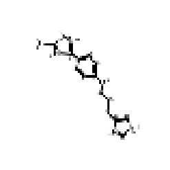 Cc1nc(-c2ccc(OCCCc3c[nH]cn3)cc2)no1